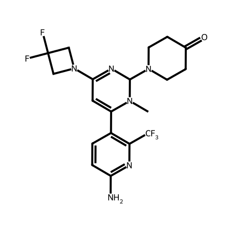 CN1C(c2ccc(N)nc2C(F)(F)F)=CC(N2CC(F)(F)C2)=NC1N1CCC(=O)CC1